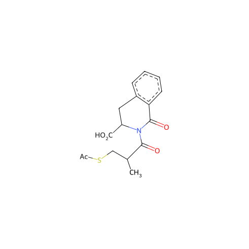 CC(=O)SCC(C)C(=O)N1C(=O)c2ccccc2CC1C(=O)O